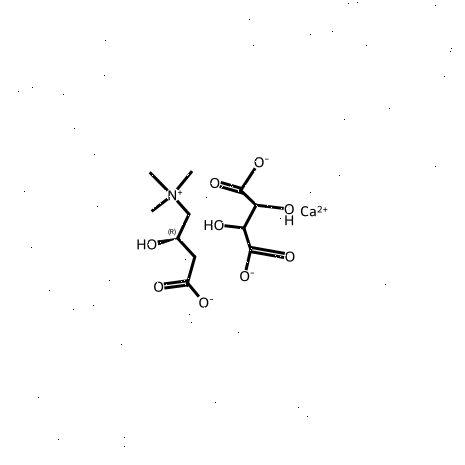 C[N+](C)(C)C[C@H](O)CC(=O)[O-].O=C([O-])C(O)C(O)C(=O)[O-].[Ca+2]